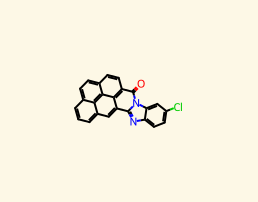 O=c1c2ccc3ccc4cccc5cc(c2c3c45)c2nc3ccc(Cl)cc3n12